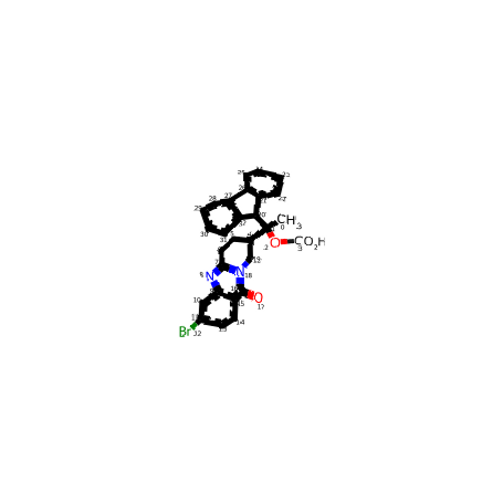 CC(OC(=O)O)(C1CCc2nc3cc(Br)ccc3c(=O)n2C1)C1c2ccccc2-c2ccccc21